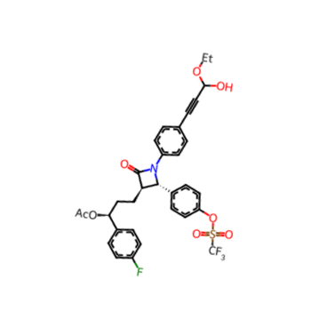 CCOC(O)C#Cc1ccc(N2C(=O)[C@H](CC[C@H](OC(C)=O)c3ccc(F)cc3)[C@H]2c2ccc(OS(=O)(=O)C(F)(F)F)cc2)cc1